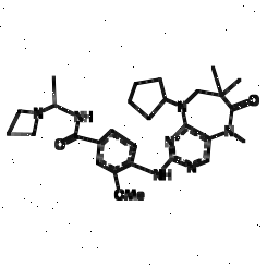 COc1cc(C(=O)NC(C)N2CCC2)ccc1Nc1ncc2c(n1)N(C1CCCC1)CC(C)(C)C(=O)N2C